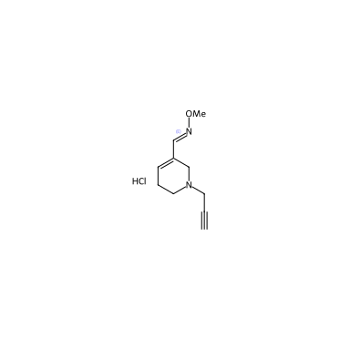 C#CCN1CCC=C(/C=N/OC)C1.Cl